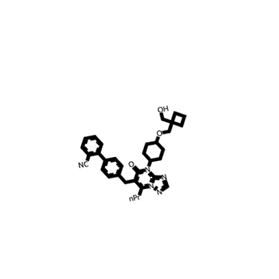 CCCc1c(Cc2ccc(-c3ccccc3C#N)cc2)c(=O)n(C2CCC(OCC3(CO)CCC3)CC2)c2ncnn12